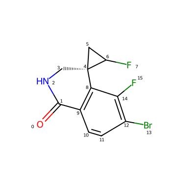 O=C1NC[C@@]2(CC2F)c2c1ccc(Br)c2F